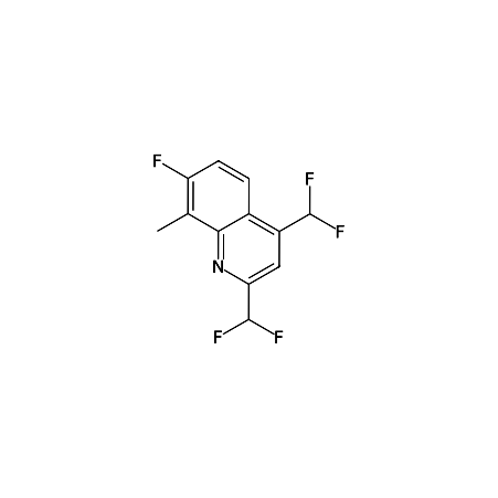 Cc1c(F)ccc2c(C(F)F)cc(C(F)F)nc12